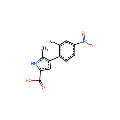 Cc1cc([N+](=O)[O-])ccc1-c1cc(C(=O)O)[nH]c1C